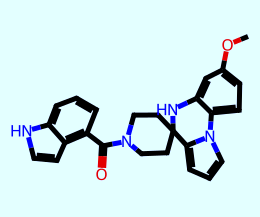 COc1ccc2c(c1)NC1(CCN(C(=O)c3cccc4[nH]ccc34)CC1)c1cccn1-2